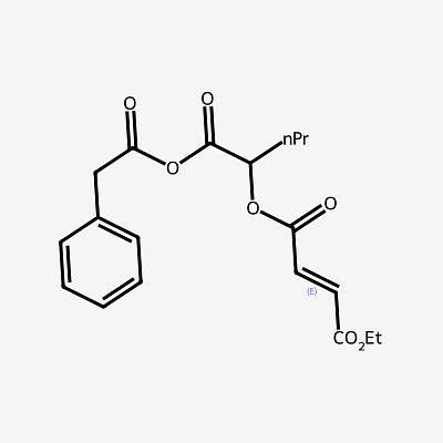 CCCC(OC(=O)/C=C/C(=O)OCC)C(=O)OC(=O)Cc1ccccc1